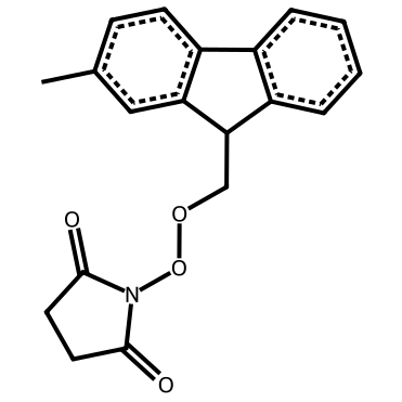 Cc1ccc2c(c1)C(COON1C(=O)CCC1=O)c1ccccc1-2